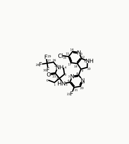 CCC(CC)(Nc1nc(C2CNc3ncc(Cl)cc32)ncc1F)C(=O)NCC(F)(F)F